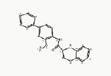 O=C(Nc1ccc(-c2ccncc2)cc1OC(F)(F)F)C1COc2ccccc2O1